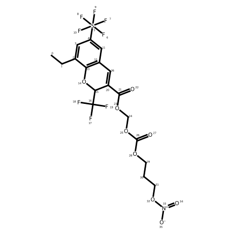 CCc1cc(S(F)(F)(F)(F)F)cc2c1OC(C(F)(F)F)C(C(=O)OCOC(=O)OCCCO[N+](=O)[O-])=C2